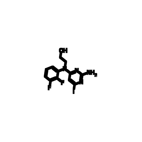 Nc1nc(I)cc(N(CCO)c2cccc(F)c2F)n1